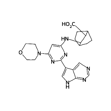 O=C(O)C1C2CCC(CC2)C1Nc1cc(N2CCOCC2)nc(-c2c[nH]c3ncncc23)n1